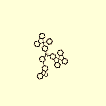 c1ccc(C2(c3ccc(N(c4cccc(-c5ccc6oc7ccccc7c6c5)c4)c4ccc5c(c4)-c4ccccc4C54c5ccccc5-c5ccccc54)cc3)c3ccccc3-c3ccccc32)cc1